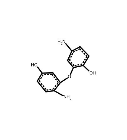 Nc1ccc(O)c(Oc2cc(O)ccc2N)c1